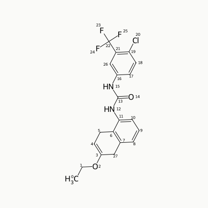 CCOC1=CCc2c(cccc2NC(=O)Nc2ccc(Cl)c(C(F)(F)F)c2)C1